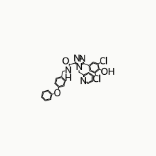 O=C(NCc1ccc(Oc2ccccc2)cc1)c1nnc(-c2cc(Cl)c(O)c(Cl)c2)n1Cc1ccccn1